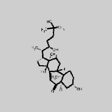 C[C@H]([C@H](O)CCC(C)(C)O)[C@H]1CC[C@@]2(O)C3=CC(=O)[C@@H]4C[C@@H](O)CC[C@]4(C)[C@H]3CC[C@]12C